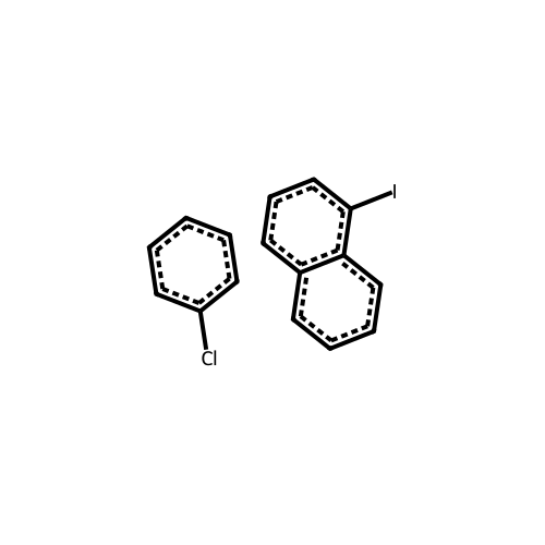 Clc1ccccc1.Ic1cccc2ccccc12